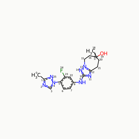 Cc1ncn(-c2ccc(Nc3nc4n(n3)CC[C@](C)(O)CC4)cc2F)n1